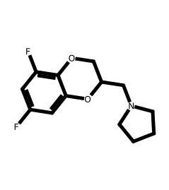 Fc1cc(F)c2c(c1)OC(CN1CCCC1)CO2